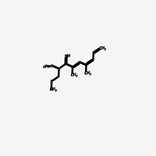 C=C/C=C(C)\C=C(/C)C(=N)N(CCCCC)CSN